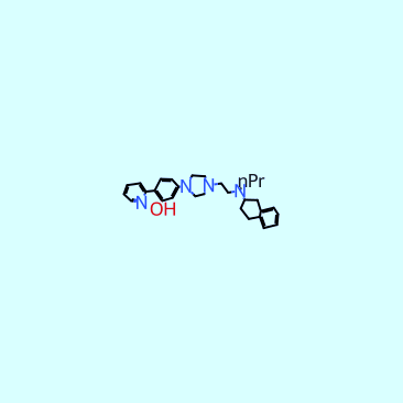 CCCN(CCN1CCN(c2ccc(-c3ccccn3)c(O)c2)CC1)C1CCc2ccccc2C1